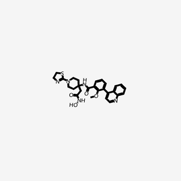 COc1c(C(=O)NC2(CC(=O)NO)CCN(C3=NCCS3)CC2)cccc1-c1ccnc2ccccc12